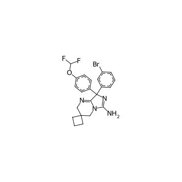 NC1=NC(c2ccc(OC(F)F)cc2)(c2cccc(Br)c2)C2=NCC3(CCC3)CN12